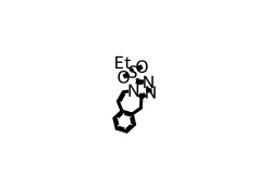 CCS(=O)(=O)c1nnc2n1C=Cc1ccccc1C2